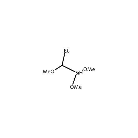 CCC(OC)[SiH](OC)OC